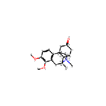 COc1ccc2c(c1OC)C[C@@H]1[C@@H]3CCC(=O)C[C@]23CCN1C